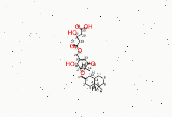 C=C1CC[C@H]2C(C)(C)CCC[C@]2(C)[C@H]1C[C@@]12O[C@@H]1[C@H](O)C(COC(=O)C[C@@](C)(O)CC(=O)O)=CC2=O